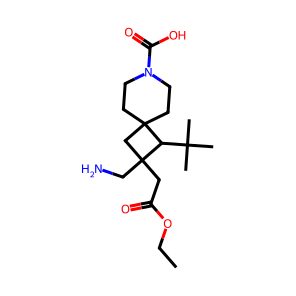 CCOC(=O)CC1(CN)CC2(CCN(C(=O)O)CC2)C1C(C)(C)C